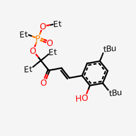 CCOP(=O)(CC)OC(CC)(CC)C(=O)C=Cc1cc(C(C)(C)C)cc(C(C)(C)C)c1O